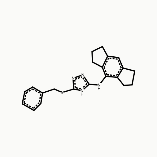 c1ccc(CSc2nnc(Nc3c4c(cc5c3CCC5)CCC4)[nH]2)cc1